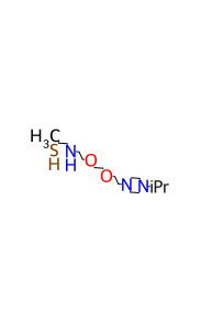 CC(C)N1CCN(CCOCCOCCNC[C@H](C)S)CC1